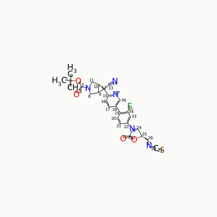 CC(C)(C)OC(=O)N1CC2C(C1)C2(C#N)c1ccc(-c2ccc(N3C[C@@H](CN=C=S)OC3=O)cc2F)cn1